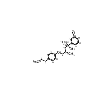 CC(=O)OCCc1ccc(OCC(C)CC(N)(O)c2cccc(Cl)c2)cc1